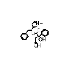 C#CCC(O)(C(=O)OC(Cc1ccccc1)C1CCNC1)c1ccccc1